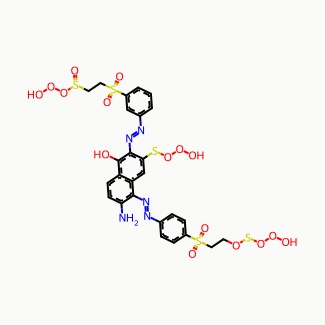 Nc1ccc2c(O)c(/N=N/c3cccc(S(=O)(=O)CCS(=O)OOO)c3)c(SOOO)cc2c1/N=N/c1ccc(S(=O)(=O)CCOSOOO)cc1